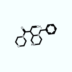 C=CC(C(=O)N1CCOCC1)C1CNCCN1Cc1ccccc1